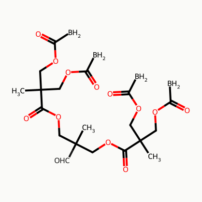 BC(=O)OCC(C)(COC(B)=O)C(=O)OCC(C)(C=O)COC(=O)C(C)(COC(B)=O)COC(B)=O